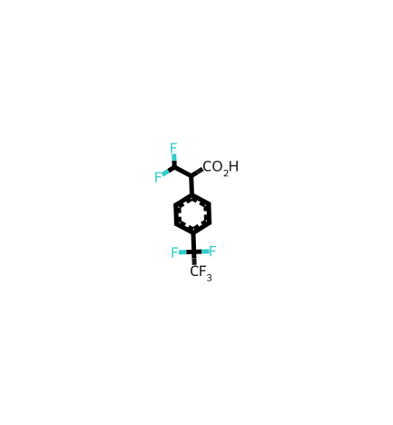 O=C(O)C(c1ccc(C(F)(F)C(F)(F)F)cc1)C(F)F